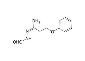 N/C(CCOc1ccccc1)=N/NC=O